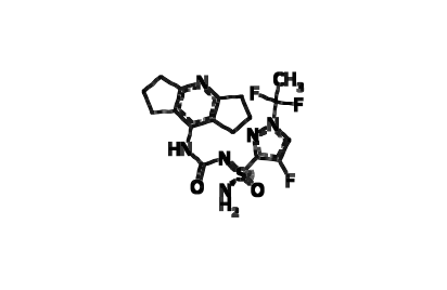 CC(F)(F)n1cc(F)c([S@](N)(=O)=NC(=O)Nc2c3c(nc4c2CCC4)CCC3)n1